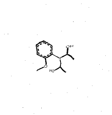 COc1ccccc1N(C(C)O)C(C)O